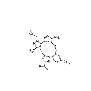 Cc1ccc2c(c1)COc1cc(cnc1N)-c1c(c(C)nn1CC1CC1)Cc1cc(C(F)F)nn1-2